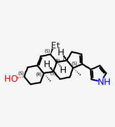 CC[C@@H]1C=C2C[C@@H](O)CC[C@]2(C)[C@H]2CC[C@]3(C)C(c4cc[nH]c4)=CC[C@H]3[C@H]12